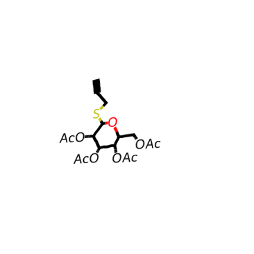 C#CCSC1OC(COC(C)=O)C(OC(C)=O)C(OC(C)=O)C1OC(C)=O